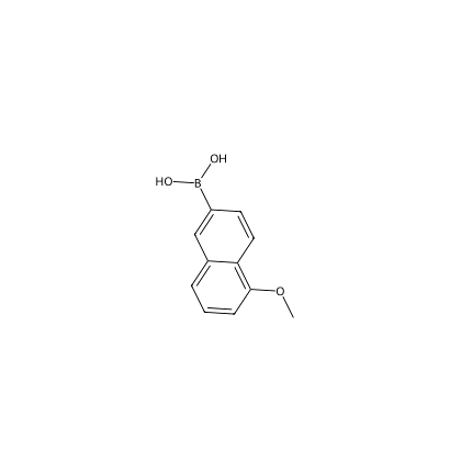 COc1cccc2cc(B(O)O)ccc12